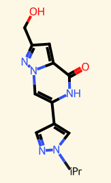 CC(C)n1cc(-c2cn3nc(CO)cc3c(=O)[nH]2)cn1